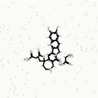 CCC1(OC(=O)CC(N)=O)CCOCc2c1cc1n(c2=O)Cc2cc3cc(F)c(F)cc3nc2-1.NCC(=O)O